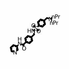 CCCN(CCC)Cc1ccc(S(=O)(=O)NCc2ccc(C(=O)Nc3cccnc3)cc2)cc1